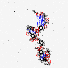 C=CCOC(=O)N[C@H](C(=O)N[C@@H](C)C(=O)Nc1ccc(COC(=O)N2c3cc(OCc4cccc(COc5cc6c(cc5OC)C(=O)N5CCC[C@H]5[C@H](OC5CCCCO5)N6C(=O)OC(C)(C)C)c4)c(OC)cc3C(=O)N3CCC[C@H]3[C@@H]2O)cc1)C(C)C